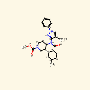 CCOC(=O)c1cn(-c2ccccc2)nc1N(C(=O)[C@H]1CC[C@H](C)CC1)C1CCN(C(=O)OC(C)(C)C)CC1